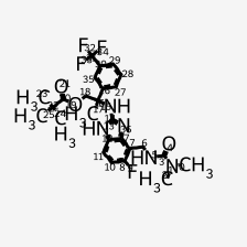 CN(C)C(=O)NCc1c(F)ccc2[nH]c(NC(C)(COC(=O)C(C)(C)C)c3cccc(C(F)(F)F)c3)nc12